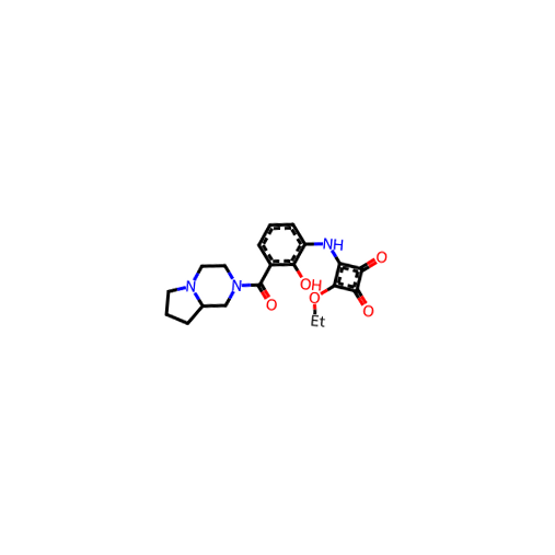 CCOc1c(Nc2cccc(C(=O)N3CCN4CCCC4C3)c2O)c(=O)c1=O